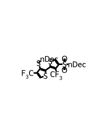 CCCCCCCCCCSc1c(C(F)(F)F)csc1-c1scc(S(=O)(=O)CCCCCCCCCC)c1C(F)(F)F